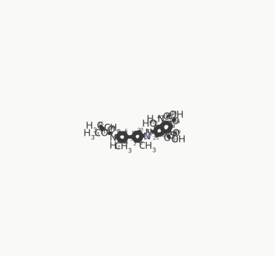 Cc1cc(-c2ccc(NC(=O)OC(C)(C)C)c(C)c2)ccc1/N=N/c1ccc2c(S(=O)(=O)O)cc(S(=O)(=O)O)c(N)c2c1O